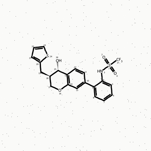 O=S(=O)(Nc1ccccc1-c1ccc2c(c1)OC[C@@H](Cc1cccs1)[C@@H]2O)C(F)(F)F